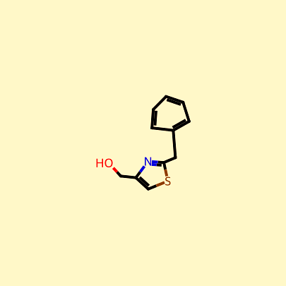 OCc1csc(Cc2ccccc2)n1